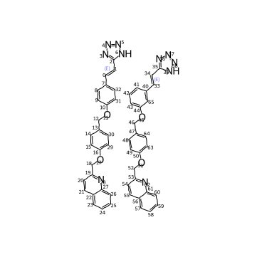 C(=C\c1nnn[nH]1)/c1ccc(OCc2ccc(OCc3ccc4ccccc4n3)cc2)cc1.C(=C\c1nnn[nH]1)/c1cccc(OCc2ccc(OCc3ccc4ccccc4n3)cc2)c1